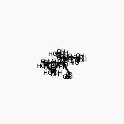 O=C(CC[C@H](NC(=O)CN(CC(=O)NCCCCCC(=O)ON1C(=O)CCC1=O)CC(=O)N[C@@H](CCC(=O)NCCO[C@H]1O[C@H](CO)[C@@H](O)[C@H](O)[C@@H]1O)C(=O)NCCO[C@H]1O[C@H](CO)[C@@H](O)[C@H](O)[C@@H]1O)C(=O)NCCO[C@H]1O[C@H](CO)[C@@H](O)[C@H](O)[C@@H]1O)NCCO[C@H]1O[C@H](CO)[C@@H](O)[C@H](O)[C@@H]1O